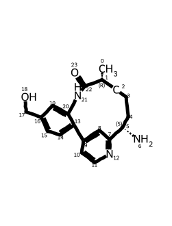 C[C@@H]1CCC[C@H](N)c2cc(ccn2)-c2ccc(CO)cc2NC1=O